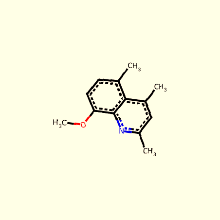 COc1ccc(C)c2c(C)cc(C)nc12